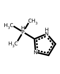 C[PH](C)(C)c1ncc[nH]1